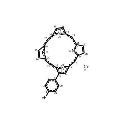 Fc1ccc(-c2cc3cc4nc(cc5ccc(cc6nc(cc2[nH]3)C=C6)[nH]5)C=C4)cc1.[Co]